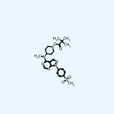 CN(c1ncnc2c1cnn2-c1ccc(S(C)(=O)=O)cc1)C1CCN(OC(=O)C(C)(C)C)CC1